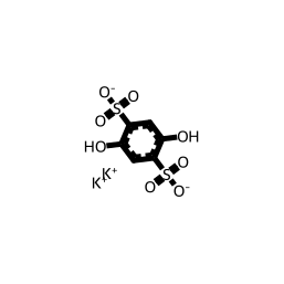 O=S(=O)([O-])c1cc(O)c(S(=O)(=O)[O-])cc1O.[K+].[K+]